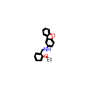 CCOc1ccccc1CNc1ccc2oc3ccccc3c2c1